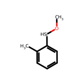 CO[SiH]c1ccccc1C